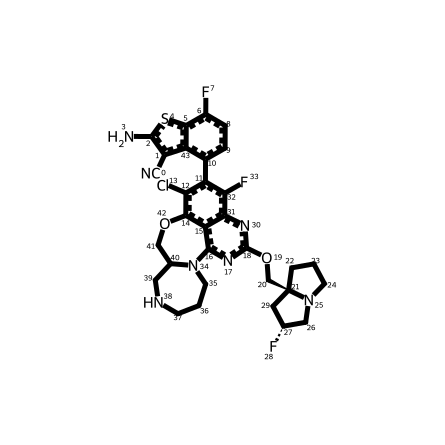 N#Cc1c(N)sc2c(F)ccc(-c3c(Cl)c4c5c(nc(OC[C@@]67CCCN6C[C@H](F)C7)nc5c3F)N3CCCNCC3CO4)c12